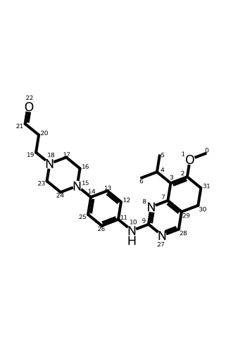 COC1=C(C(C)C)c2nc(Nc3ccc(N4CCN(CCC=O)CC4)cc3)ncc2CC1